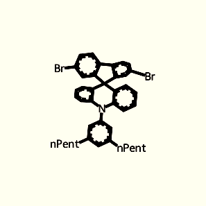 CCCCCc1cc(CCCCC)cc(N2c3ccccc3C3(c4cc(Br)ccc4-c4ccc(Br)cc43)c3ccccc32)c1